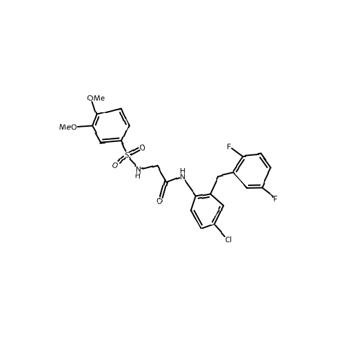 COc1ccc(S(=O)(=O)NCC(=O)Nc2ccc(Cl)cc2Cc2cc(F)ccc2F)cc1OC